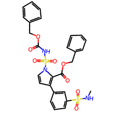 CNS(=O)(=O)c1cccc(-c2ccn(S(=O)(=O)NC(=O)OCc3ccccc3)c2C(=O)OCc2ccccc2)c1